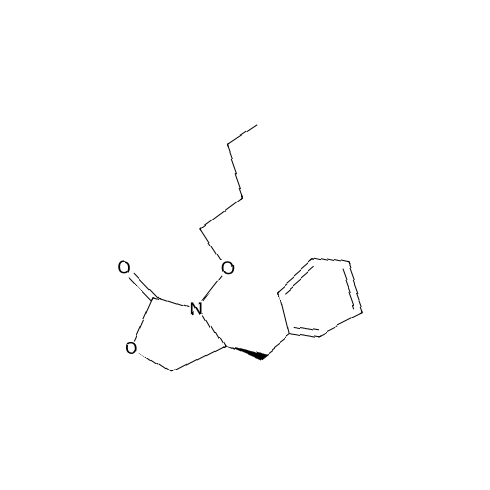 CCCCON1C(=O)OC[C@@H]1Cc1ccccc1